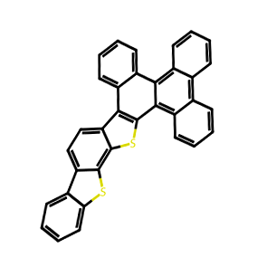 c1ccc2c(c1)sc1c2ccc2c1sc1c2c2ccccc2c2c3ccccc3c3ccccc3c12